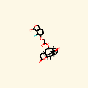 C[C@@H]1CC[C@@]23CCC(=O)[C@H]2[C@]1(C)[C@H](OC(=O)COc1ccc2c(c1F)B(O)OC2)C[C@@]1(C)CCC(=O)O[C@H]1[C@@H]3C